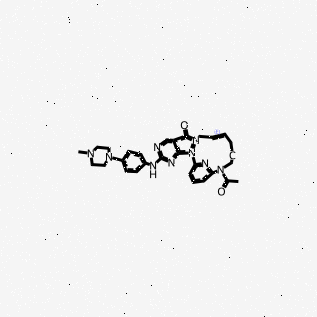 CC(=O)N1CCC/C=C/Cn2c(=O)c3cnc(Nc4ccc(N5CCN(C)CC5)cc4)nc3n2-c2cccc1n2